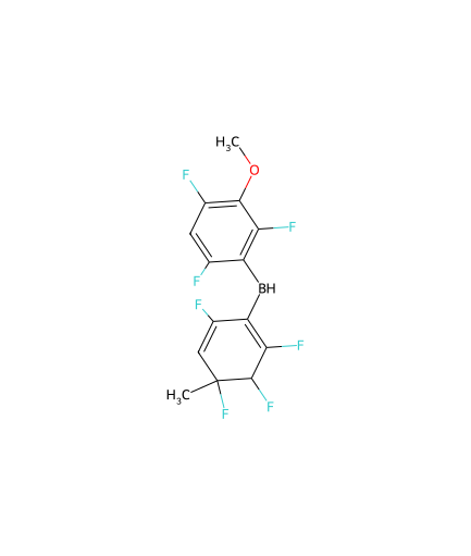 COc1c(F)cc(F)c(BC2=C(F)C(F)C(C)(F)C=C2F)c1F